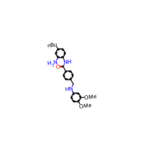 CCCCc1ccc(NC(=O)c2ccc(CNc3ccc(OC)c(OC)c3)cc2)c(N)c1